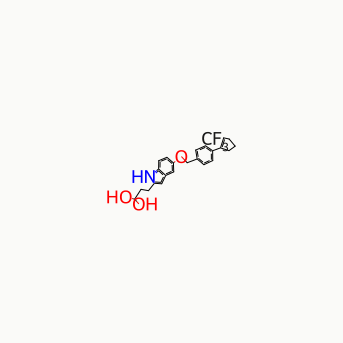 OC(O)CCc1cc2cc(OCc3ccc(C4=CCCC4)c(C(F)(F)F)c3)ccc2[nH]1